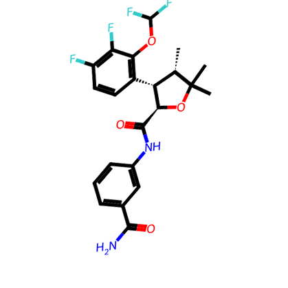 C[C@H]1[C@@H](c2ccc(F)c(F)c2OC(F)F)[C@H](C(=O)Nc2cccc(C(N)=O)c2)OC1(C)C